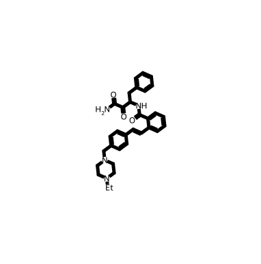 CCN1CCN(Cc2ccc(C=Cc3ccccc3C(=O)NC(Cc3ccccc3)C(=O)C(N)=O)cc2)CC1